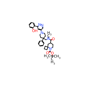 CN(CC1(c2ccccc2)CCN(c2cnnc(-c3ccccc3O)c2)CC1)C(=O)C1CCN(C(=O)OC(C)(C)C)C2(CCC2)C1